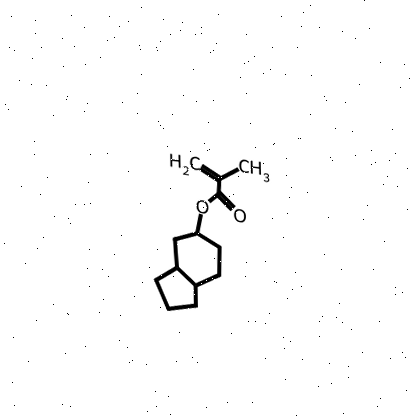 C=C(C)C(=O)OC1CCC2CCCC2C1